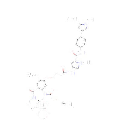 C=CCOC(=O)N1c2cc(OCCCC(=O)Nc3cc(C(=O)Nc4ccc(-c5cc(C(=O)O)n(C)c5)cc4)n(C)c3)c(OC)cc2C(=O)N2CCCC[C@H]2[C@@H]1OC1CCCCO1